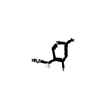 O=C(O)Nc1cnc(Br)cc1I